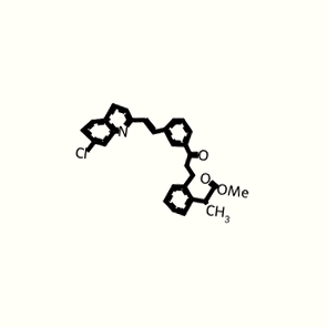 COC(=O)C(C)c1ccccc1CCC(=O)c1cccc(C=Cc2ccc3ccc(Cl)cc3n2)c1